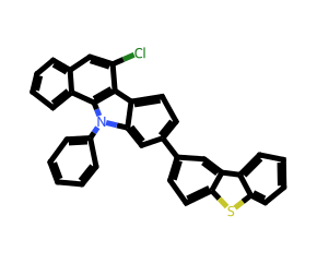 Clc1cc2ccccc2c2c1c1ccc(-c3ccc4sc5ccccc5c4c3)cc1n2-c1ccccc1